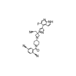 N#CCC1(n2cc(-c3c(F)cnc4[nH]ccc34)cn2)CN(C2CCN(C(=O)c3cc(C#N)ccc3C#N)CC2)C1